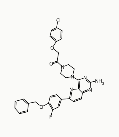 Nc1nc(N2CCN(C(=O)COc3ccc(Cl)cc3)CC2)c2nc(-c3ccc(OCc4ccccc4)c(F)c3)ccc2n1